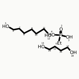 CCP(=O)(O)O.OCCCCCCO.OCCCCO